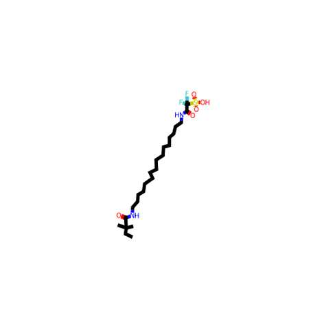 CCC(C)(C)C(=O)NCCCCCCCCCCCCCCCCNC(=O)C(F)(F)S(=O)(=O)O